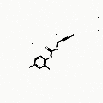 Cc1ccc(OC(=O)OCC#CI)c(C)c1